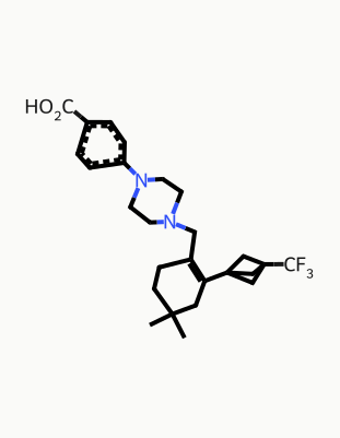 CC1(C)CCC(CN2CCN(c3ccc(C(=O)O)cc3)CC2)=C(C23CC(C(F)(F)F)(C2)C3)C1